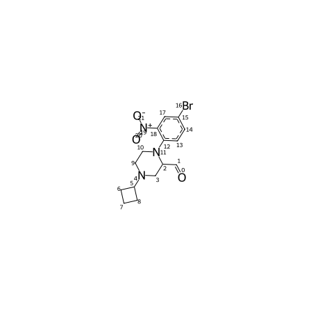 O=CC1CN(C2CCC2)CCN1c1ccc(Br)cc1[N+](=O)[O-]